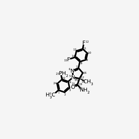 Cc1ccc(N2N=C(c3ccc(F)cc3F)C[C@]2(C)C(N)=O)c(P)c1